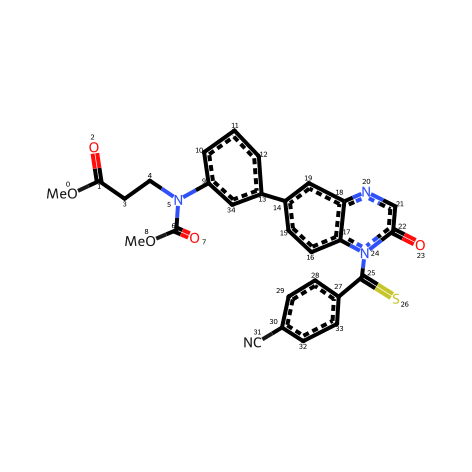 COC(=O)CCN(C(=O)OC)c1cccc(-c2ccc3c(c2)ncc(=O)n3C(=S)c2ccc(C#N)cc2)c1